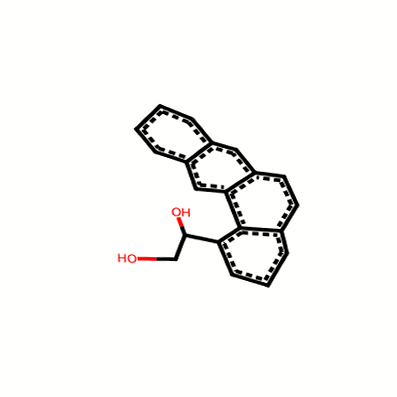 OCC(O)c1cccc2ccc3cc4ccccc4cc3c12